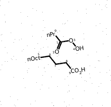 CCCC(=O)OO.CCCCCCCCCCCC(=O)O